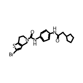 O=C(CC1CCCC1)Nc1ccc(NC(=O)N2CCc3sc(Br)cc3C2)cc1